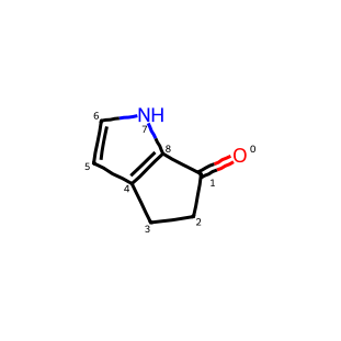 O=C1CCc2cc[nH]c21